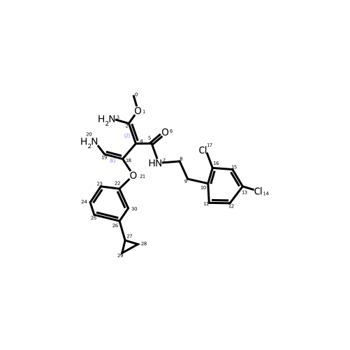 CO/C(N)=C(C(=O)NCCc1ccc(Cl)cc1Cl)/C(=C\N)Oc1cccc(C2CC2)c1